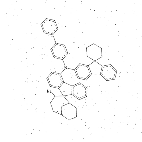 CCC1CCC2CCCC(C2)C12c1ccccc1-c1c(N(c3ccc(-c4ccccc4)cc3)c3ccc4c(c3)C3(CCCCC3)c3ccccc3-4)cccc12